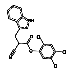 N#CC(Cc1c[nH]c2ccccc12)C(=O)Oc1cc(Cl)c(Cl)cc1Cl